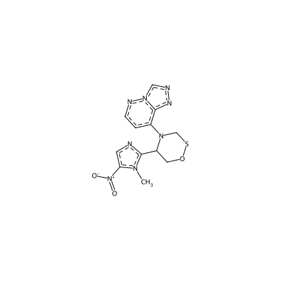 Cn1c([N+](=O)[O-])cnc1C1COSCN1c1ccnn2cnnc12